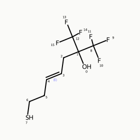 OC(C/C=C/CCS)(C(F)(F)F)C(F)(F)F